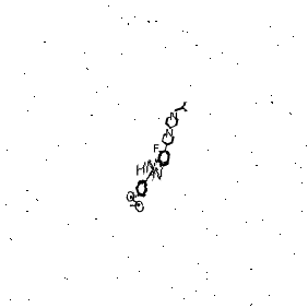 CC(C)CN1CCC(N2CCC(c3ccc4nc(-c5ccc(S(C)(=O)=O)cc5)[nH]c4c3F)CC2)CC1